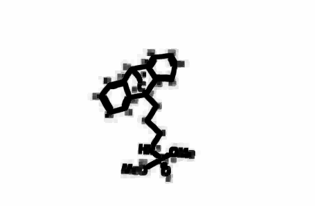 COP(=O)(NCCCC12CCC(c3ccccc31)c1ccccc12)OC